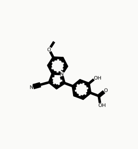 COc1ccn2c(-c3ccc(C(=O)O)c(O)c3)cc(C#N)c2c1